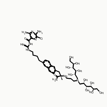 C[C@@](Cc1ccc2cc(CCCCNC(=N)NC(=O)c3nc(Cl)c(N)nc3N)ccc2c1)(NCCCN(C[C@H](O)[C@@H](O)[C@H](O)[C@H](O)CO)C[C@H](O)[C@@H](O)[C@H](O)[C@H](O)CO)C(N)=O